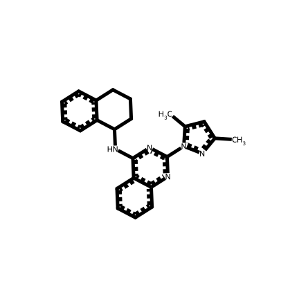 Cc1cc(C)n(-c2nc(NC3CCCc4ccccc43)c3ccccc3n2)n1